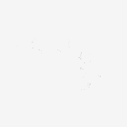 C=CC(=O)N[C@@H]1CCC[C@@H](Nc2n[nH]c3c2CN(C(=O)NC(CN(C)C)c2ccccc2)C3(C)C)C1